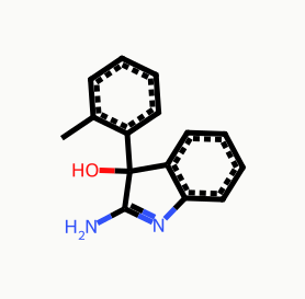 Cc1ccccc1C1(O)C(N)=Nc2ccccc21